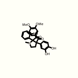 COc1ccc(C(=O)C2(c3ccc(O)c(O)c3)CCN(C)C23C(=O)Nc2ccccc23)cc1OC